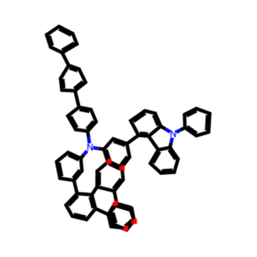 c1ccc(-c2ccc(-c3ccc(N(c4cccc(-c5cccc(-c6ccccc6)c5-c5ccccc5-c5ccccc5)c4)c4cccc(-c5cccc6c5c5ccccc5n6-c5ccccc5)c4)cc3)cc2)cc1